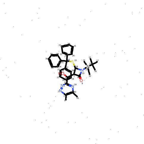 Cc1nnc(C(O)C2C(=O)N([Si](C)(C)C(C)(C)C)C2SC(c2ccccc2)(c2ccccc2)c2ccccc2)nc1C